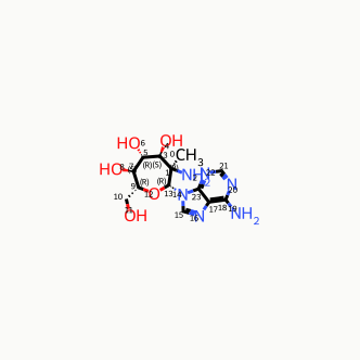 C[C@@]1(N)[C@H](O)[C@@H](O)[C@H](O)[C@@H](CO)O[C@H]1n1cnc2c(N)ncnc21